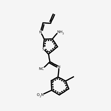 C=C/C=N\c1sc(/C(C#N)=N/c2cc([N+](=O)[O-])ccc2C)cc1N